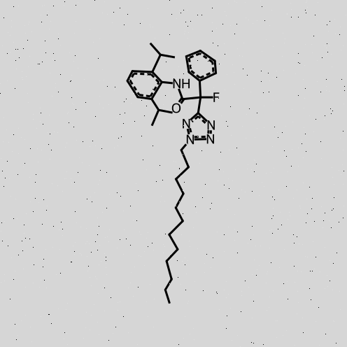 CCCCCCCCCCCCn1nnc(C(F)(C(=O)Nc2c(C(C)C)cccc2C(C)C)c2ccccc2)n1